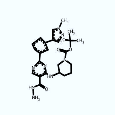 Cn1cc(-c2cccc(-c3ncc(C(=O)NN)c(NC4CCCN(C(=O)OC(C)(C)C)C4)n3)c2)cn1